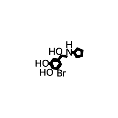 Oc1cc(C(O)CNC2CCCC2)cc(Br)c1O